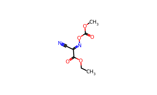 CCOC(=O)C(C#N)=NOC(=O)OC